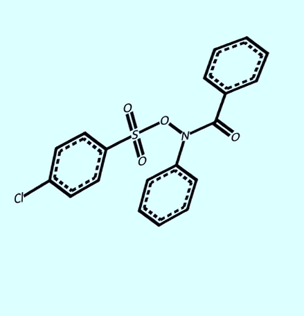 O=C(c1ccccc1)N(OS(=O)(=O)c1ccc(Cl)cc1)c1ccccc1